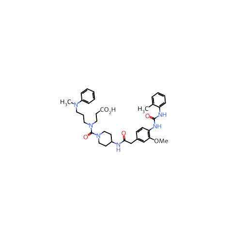 COc1cc(CC(=O)NC2CCN(C(=O)N(CCCN(C)c3ccccc3)CCC(=O)O)CC2)ccc1NC(=O)Nc1ccccc1C